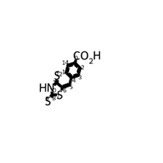 O=C(O)c1ccc(/C=C2/SC(=S)NC2=S)cc1